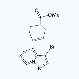 COC(=O)C1CC=C(c2cccn3ncc(Br)c23)CC1